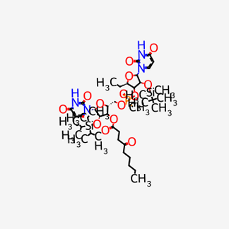 CCCCCC(=O)CCC(=O)OC1[C@@H](COP(C)(=O)OC2[C@@H](CC)O[C@@H](n3ccc(=O)[nH]c3=O)[C@H]2O[Si](C)(C)C(C)(C)C)O[C@@H](n2ccc(=O)[nH]c2=O)[C@H]1O[Si](C(C)C)(C(C)C)C(C)C